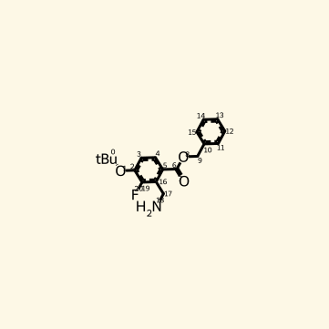 CC(C)(C)Oc1ccc(C(=O)OCc2ccccc2)c(CN)c1F